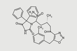 Cc1cccc(Cc2onnc2C(=O)C[C@@H](C)CC(C(N)=O)N2C(=O)NC(=O)C2(c2ccccc2)c2ccccc2)c1